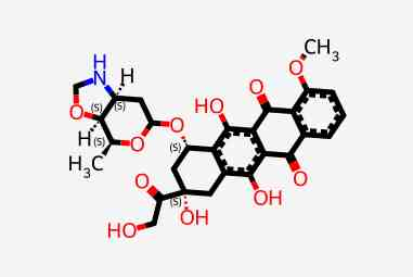 COc1cccc2c1C(=O)c1c(O)c3c(c(O)c1C2=O)C[C@@](O)(C(=O)CO)C[C@@H]3OC1C[C@@H]2NCO[C@@H]2[C@H](C)O1